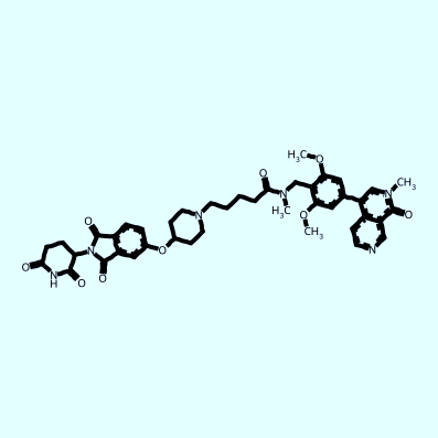 COc1cc(-c2cn(C)c(=O)c3cnccc23)cc(OC)c1CN(C)C(=O)CCCCN1CCC(Oc2ccc3c(c2)C(=O)N(C2CCC(=O)NC2=O)C3=O)CC1